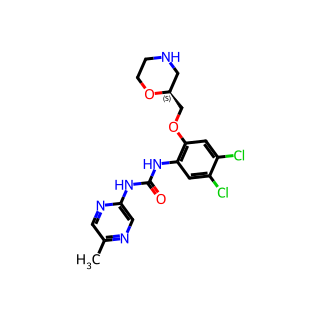 Cc1cnc(NC(=O)Nc2cc(Cl)c(Cl)cc2OC[C@@H]2CNCCO2)cn1